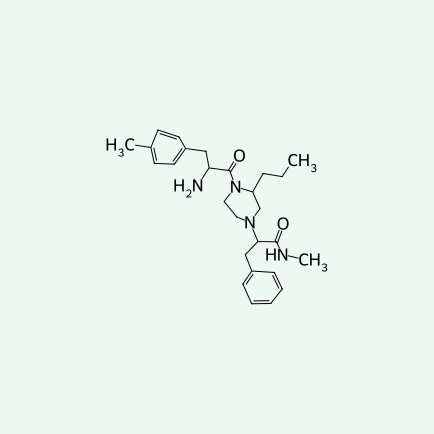 CCCC1CN(C(Cc2ccccc2)C(=O)NC)CCN1C(=O)C(N)Cc1ccc(C)cc1